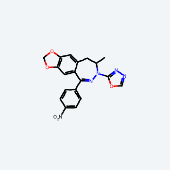 CC1Cc2cc3c(cc2C(c2ccc([N+](=O)[O-])cc2)=NN1c1nnco1)OCO3